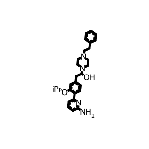 CC(C)Oc1cc(CC(O)N2CCN(CCc3ccccc3)CC2)ccc1-c1cccc(N)n1